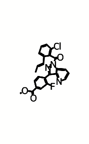 CC=Cc1cccc(Cl)c1C(=O)n1nc(-c2ccc(C(=O)OC)cc2F)c2ncccc21